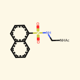 CC(=O)N[CH]NS(=O)(=O)c1cccc2ccccc12